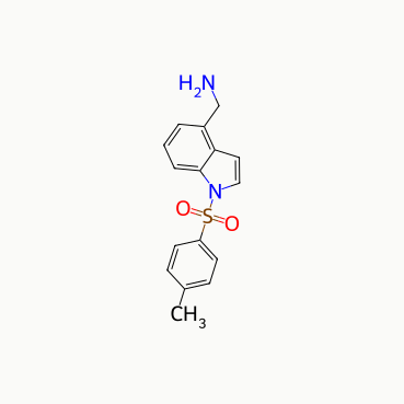 Cc1ccc(S(=O)(=O)n2ccc3c(CN)cccc32)cc1